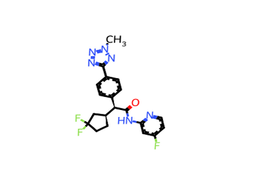 Cn1nnc(-c2ccc([C@@H](C(=O)Nc3cc(F)ccn3)[C@H]3CCC(F)(F)C3)cc2)n1